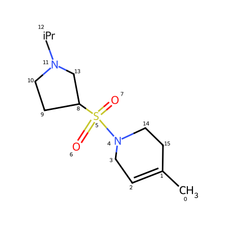 CC1=CCN(S(=O)(=O)C2CCN(C(C)C)C2)CC1